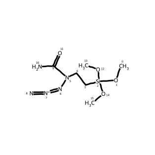 CO[Si](CCN(N=[N+]=[N-])C(N)=O)(OC)OC